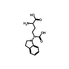 NC(CCN(C(=O)O)N1CCc2ccccc21)C(=O)O